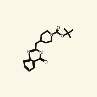 CC(C)(C)OC(=O)N1CCC(Cc2nc3ccccc3c(=O)[nH]2)CC1